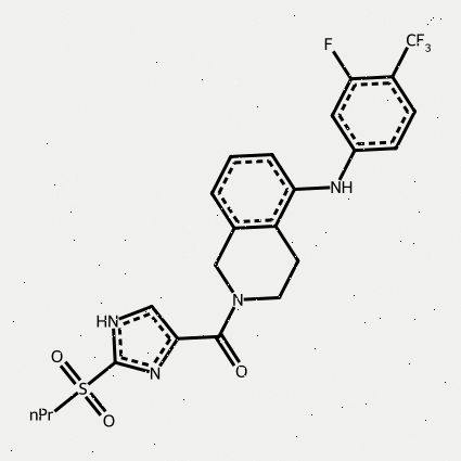 CCCS(=O)(=O)c1nc(C(=O)N2CCc3c(cccc3Nc3ccc(C(F)(F)F)c(F)c3)C2)c[nH]1